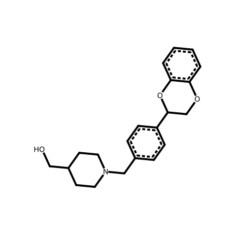 OCC1CCN(Cc2ccc(C3COc4ccccc4O3)cc2)CC1